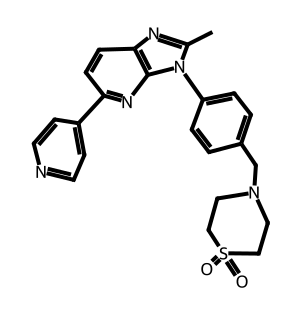 Cc1nc2ccc(-c3ccncc3)nc2n1-c1ccc(CN2CCS(=O)(=O)CC2)cc1